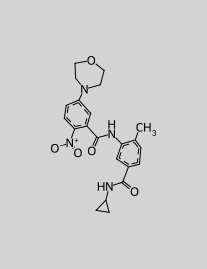 Cc1ccc(C(=O)NC2CC2)cc1NC(=O)c1cc(N2CCOCC2)ccc1[N+](=O)[O-]